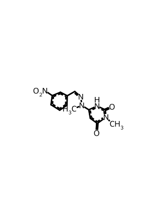 CN(/N=C\c1cccc([N+](=O)[O-])c1)c1cc(=O)n(C)c(=O)[nH]1